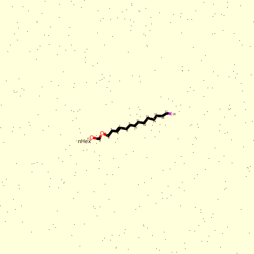 CCCCCCOCOCCC=CCCCCCCCCCCI